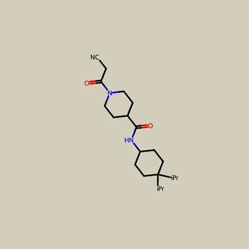 CC(C)C1(C(C)C)CCC(NC(=O)C2CCN(C(=O)CC#N)CC2)CC1